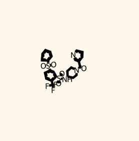 O=C(c1cccnc1)N1CCC(NS(=O)(=O)c2cc(S(=O)(=O)c3ccccc3)ccc2C(F)(F)F)CC1